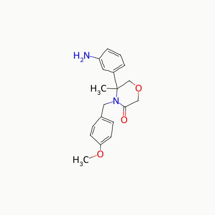 COc1ccc(CN2C(=O)COCC2(C)c2cccc(N)c2)cc1